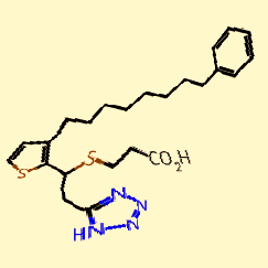 O=C(O)CCSC(Cc1nnn[nH]1)c1sccc1CCCCCCCCc1ccccc1